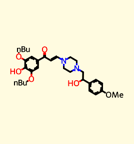 CCCCOc1cc(C(=O)C=CN2CCN(CC(O)c3ccc(OC)cc3)CC2)cc(OCCCC)c1O